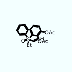 C=CS(=O)(CC)(c1ccccc1)c1cccc(OC(C)=O)c1OC(C)=O